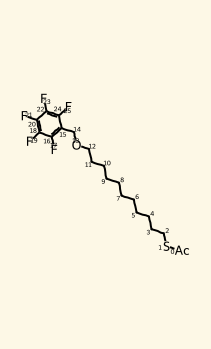 CC(=O)SCCCCCCCCCCCOCc1c(F)c(F)c(F)c(F)c1F